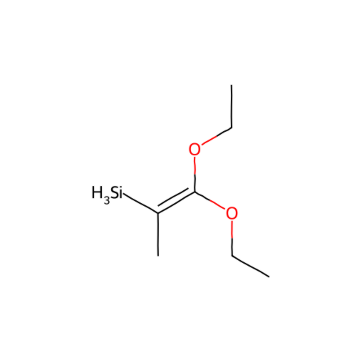 CCOC(OCC)=C(C)[SiH3]